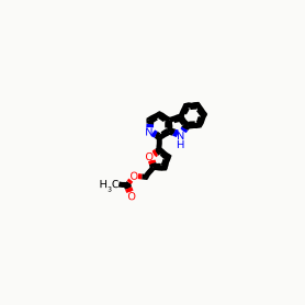 CC(=O)OCc1ccc(-c2nccc3c2[nH]c2ccccc23)o1